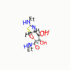 CCNC(=O)[C@H]1O[C@@H]2SC(NCC)=N[C@@H]2[C@@H](O)[C@@H]1O